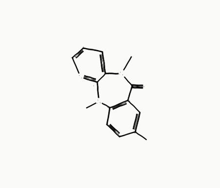 CCN1c2ccc(C)cc2C(=O)N(C)c2cccnc21